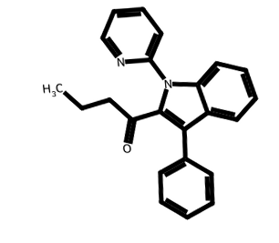 CCCC(=O)c1c(-c2ccccc2)c2ccccc2n1-c1ccccn1